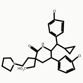 O=C(O)CC1(CCN2CCCC2)CC(c2cccc(Cl)c2)C(C(c2ccc(Cl)cc2)C2CC2)NC1=O